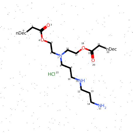 CCCCCCCCCCCC(=O)OCCN(CCCNCCCN)CCOC(=O)CCCCCCCCCCC.Cl